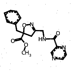 COC(=O)C1(Cc2ccccc2)CC(CNC(=O)c2cnccn2)=NO1